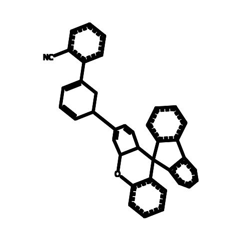 N#Cc1ccccc1C1=CC=CC(C2=CC3Oc4ccccc4C4(c5ccccc5-c5ccccc54)C3C=C2)C1